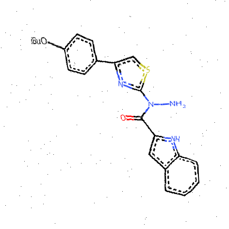 CC(C)COc1ccc(-c2csc(N(N)C(=O)c3cc4ccccc4[nH]3)n2)cc1